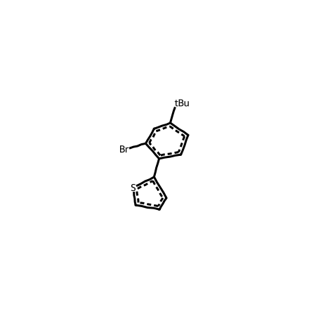 CC(C)(C)c1ccc(-c2cccs2)c(Br)c1